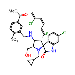 C=C(Cl)/C=C\C=C(/F)[C@H]1[C@H](NCc2cc(C(=O)OC)ccc2[N+](=O)[O-])[C@H](CO)N(CC2CC2)[C@@]12C(=O)Nc1cc(Cl)ccc12